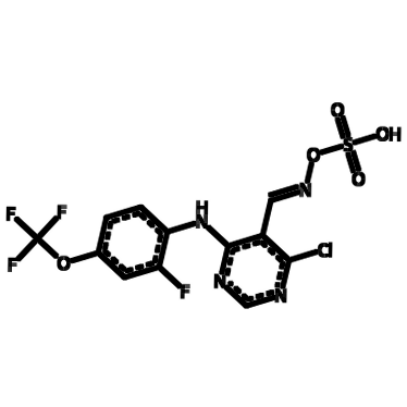 O=S(=O)(O)O/N=C/c1c(Cl)ncnc1Nc1ccc(OC(F)(F)F)cc1F